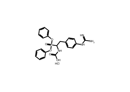 Cl.N=C(N)Nc1ccc(CC(NC(=O)O)P(=O)(Oc2ccccc2)Oc2ccccc2)cc1